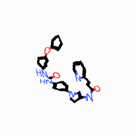 CN(C(=O)C=Cc1ccccn1)C1CCN(c2ccc(NC(=O)Nc3ccc(OC4CCCC4)cc3)cc2)C1